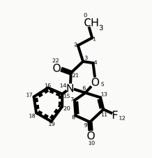 CCCC1COC2(C=CC(=O)C(F)=C2)N(c2ccccc2)C1=O